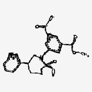 COC(=O)c1cc(N2CC(c3ccccc3)CCS2(=O)=O)cc([N+](=O)[O-])c1